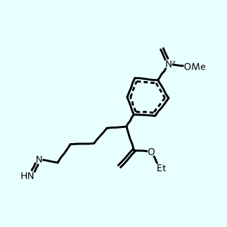 C=C(OCC)C(CCCCN=N)c1ccc([N+](=C)OC)cc1